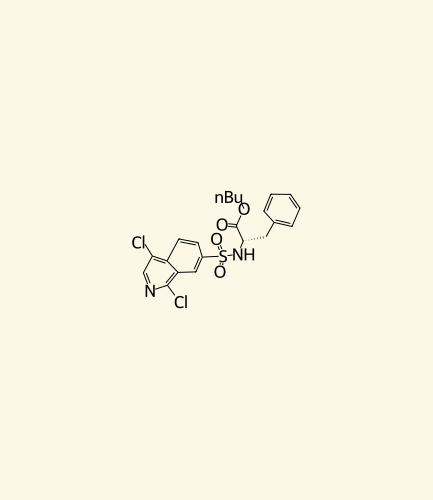 CCCCOC(=O)[C@H](Cc1ccccc1)NS(=O)(=O)c1ccc2c(Cl)cnc(Cl)c2c1